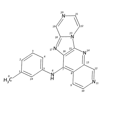 Cc1cccc(Nc2c3ccncc3nc3c2nc2cnccn23)c1